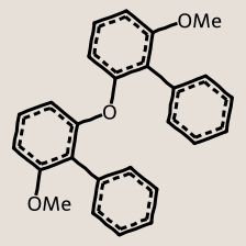 COc1cccc(Oc2cccc(OC)c2-c2ccccc2)c1-c1ccccc1